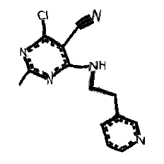 Cc1nc(Cl)c(C#N)c(NCCc2cccnc2)n1